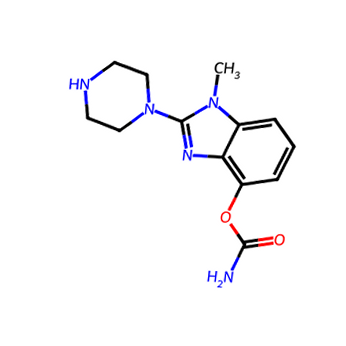 Cn1c(N2CCNCC2)nc2c(OC(N)=O)cccc21